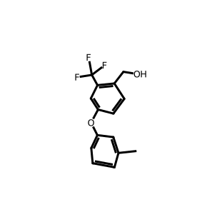 Cc1cccc(Oc2ccc(CO)c(C(F)(F)F)c2)c1